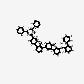 c1ccc(-c2nc(-c3ccccc3)nc(-c3ccc4c(c3)oc3c(-c5ccc6sc7c(Nc8ccccc8-c8ccccc8)cccc7c6c5)cccc34)n2)cc1